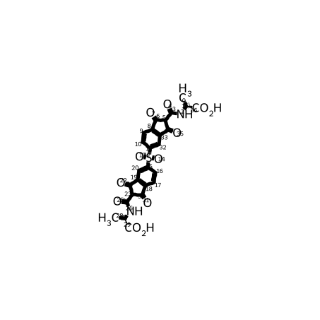 C[C@H](NC(=O)C1C(=O)c2ccc(S(=O)(=O)c3ccc4c(c3)C(=O)C(C(=O)N[C@@H](C)C(=O)O)C4=O)cc2C1=O)C(=O)O